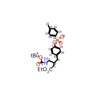 CCOC(=O)CC(CNC(=O)OC(C)(C)C)Cc1ccc(OS(=O)(=O)c2ccc(C)cc2)cc1